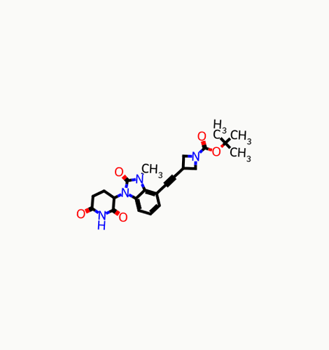 Cn1c(=O)n(C2CCC(=O)NC2=O)c2cccc(C#CC3CN(C(=O)OC(C)(C)C)C3)c21